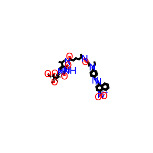 CCN(CCON=C(C)CCCC(=O)NCC(C)c1cn([C@H]2C[C@@H](OC)[C@@H](COC)O2)c(=O)[nH]c1=O)c1ccc(N=Nc2ccc([N+](=O)[O-])c3ccccc23)cc1